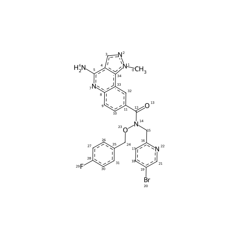 Cn1ncc2c(N)nc3ccc(C(=O)N(Cc4ccc(Br)cn4)OCc4ccc(F)cc4)cc3c21